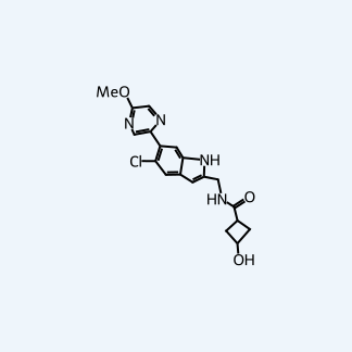 COc1cnc(-c2cc3[nH]c(CNC(=O)C4CC(O)C4)cc3cc2Cl)cn1